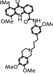 COc1cc(CCCN2CCc3cc(OC)c(OC)cc3C2)ccc1NC(=O)c1cccc2c(=O)c3c(OC)ccc(OC)c3[nH]c12